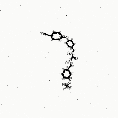 N#Cc1ccc(Oc2ccc(CNC(=O)NCc3cccc(OC(F)(F)F)c3)cc2)cc1